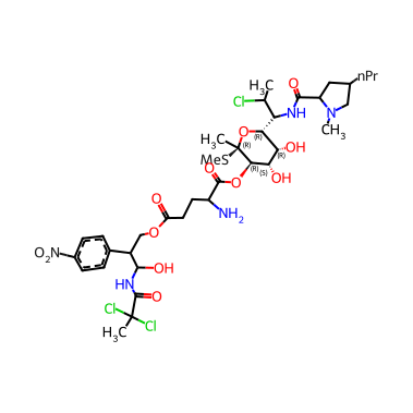 CCCC1CC(C(=O)NC(C(C)Cl)[C@H]2O[C@](C)(SC)[C@H](OC(=O)C(N)CCC(=O)OCC(c3ccc([N+](=O)[O-])cc3)C(O)NC(=O)C(C)(Cl)Cl)[C@@H](O)[C@H]2O)N(C)C1